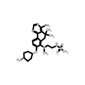 CN(CCNS(C)(=O)=O)c1c(O[C@H]2CC[C@H](N)CC2)ccc2c1CC(C)(C)c1c(N)ncnc1-2